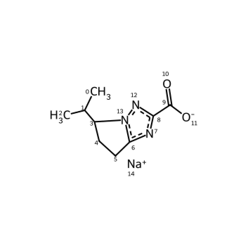 CC(C)C1CCc2nc(C(=O)[O-])nn21.[Na+]